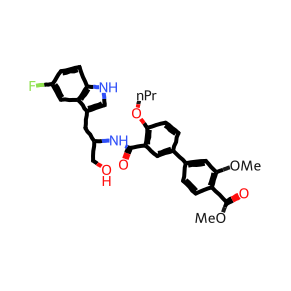 CCCOc1ccc(-c2ccc(C(=O)OC)c(OC)c2)cc1C(=O)NC(CO)Cc1c[nH]c2ccc(F)cc12